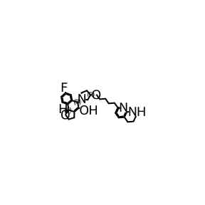 OC1=C2CCO[C@H]2c2ccc(F)cc2[C@H]1N1CC[C@@H](OCCCCc2ccc3c(n2)NCCC3)C1